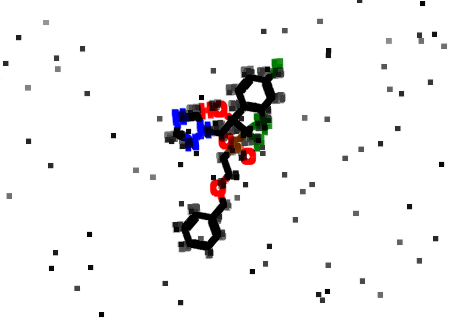 O=S(=O)(CCOCc1ccccc1)C(F)(F)C(O)(Cn1cncn1)c1ccc(F)cc1F